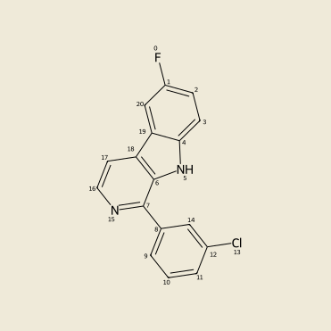 Fc1ccc2[nH]c3c(-c4cccc(Cl)c4)nccc3c2c1